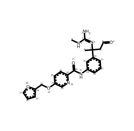 CN/C(N)=N\C(C)(CC=O)c1cccc(NC(=O)c2ccc(OCc3ccco3)cn2)c1